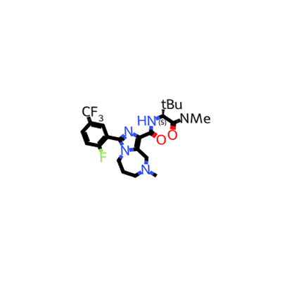 CNC(=O)[C@@H](NC(=O)c1nc(-c2cc(C(F)(F)F)ccc2F)n2c1CN(C)CCC2)C(C)(C)C